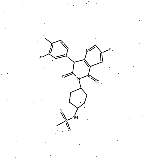 CS(=O)(=O)NC1CCC(n2c(=O)c3cc(F)cnc3n(-c3ccc(F)c(F)c3)c2=O)CC1